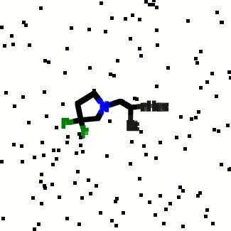 CCCCCCC(CC)CN1CCC(F)(F)C1